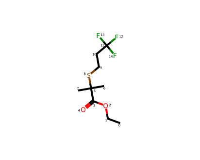 CCOC(=O)C(C)(C)SCCC(F)(F)F